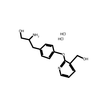 Cl.Cl.NC(CO)Cc1ccc(Oc2ncccc2CO)cc1